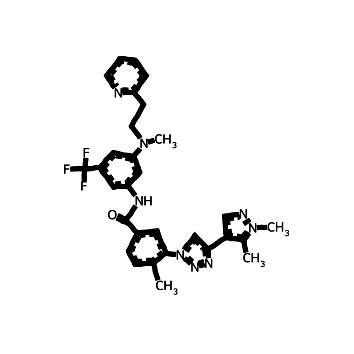 Cc1ccc(C(=O)Nc2cc(N(C)CCc3ccccn3)cc(C(F)(F)F)c2)cc1-n1cc(-c2cnn(C)c2C)nn1